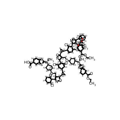 CCOC(=O)c1ccc2nc(N(C)C3CCC(OCc4c(-c5c(Cl)cc(C6CC6c6onc(-c7c(Cl)cccc7Cl)c6COC6CCC(N(C)c7nc8ccc(C(=O)O)cc8s7)CC6)cc5Cl)noc4C4CC4c4ccc(Cl)c(-c5noc(C6CC6)c5CN(C)C5CC6CC(C5)N6c5nc6ccc(C(=O)OCC)cc6s5)c4Cl)CC3)sc2c1